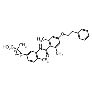 Cc1cc(OCCc2ccccc2)cc(C)c1C(=O)Nc1cc([C@H]2C[C@@]2(C)C(=O)O)ccc1C(F)(F)F